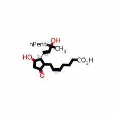 CCCCCC(C)(O)/C=C/[C@H]1C(O)CC(=O)C1C/C=C\CCCC(=O)O